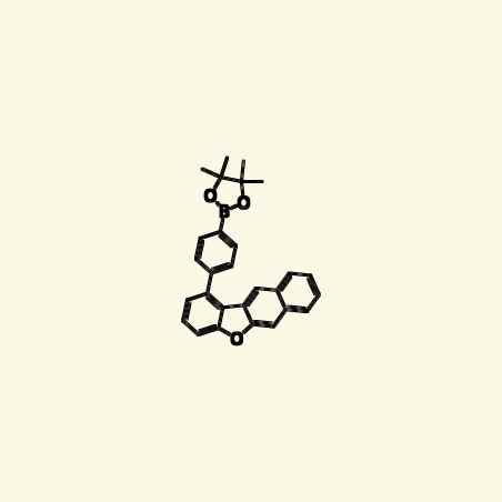 CC1(C)OB(c2ccc(-c3cccc4oc5cc6ccccc6cc5c34)cc2)OC1(C)C